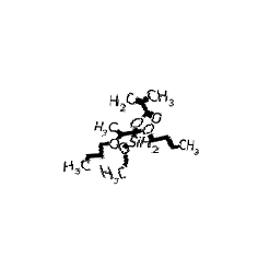 C=C(C)C(=O)OC(OCCCC)([SiH2]OCC)C(C)OCCCC